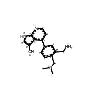 CN(C)Cc1ccc(-c2ccnc3[nH]cc(C#N)c23)cc1CN